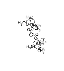 C[C@@H]1CC[C@@H](/C(COC(=O)c2cccc(C(=O)OC/C(=C(/O)C(F)(F)F)[C@@H]3CC[C@@H](C)[C@@H]4CCC(C)(O)OC[C@]34O)c2)=C(\O)C(F)(F)F)[C@@]2(O)CO[C@@H](C)CC[C@@H]12